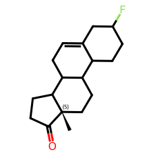 C[C@]12CCC3C4CCC(F)CC4=CCC3C1CCC2=O